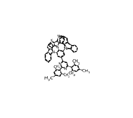 Cc1cc(C)c(-c2cc(-c3cc(-n4c5ccccc5c5ccccc54)c(-n4c5cccnc5c5ncccc54)c(-n4c5ccccc5c5ccccc54)c3)nc(-c3c(C)cc(C)cc3C)n2)c(C)c1